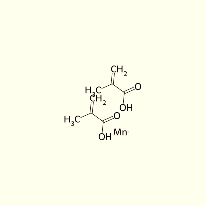 C=C(C)C(=O)O.C=C(C)C(=O)O.[Mn]